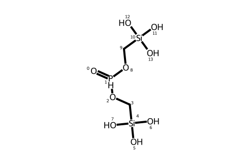 O=[PH](OC[Si](O)(O)O)OC[Si](O)(O)O